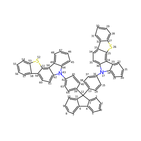 c1ccc2c(c1)-c1ccccc1C2(c1ccc(-n2c3ccccc3c3c4sc5ccccc5c4ccc32)cc1)c1ccc(-n2c3ccccc3c3c4sc5ccccc5c4ccc32)cc1